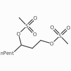 CCCCCC(CCOS(C)(=O)=O)OS(C)(=O)=O